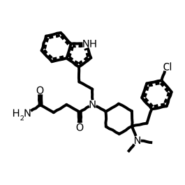 CN(C)C1(Cc2ccc(Cl)cc2)CCC(N(CCc2c[nH]c3ccccc23)C(=O)CCC(N)=O)CC1